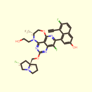 C#Cc1c(F)ccc2cc(O)cc(-c3nc4c5c(nc(OC[C@@]67CCCN6C[C@H](F)C7)nc5c3F)N(CCO)[C@H](C(F)(F)F)CO4)c12